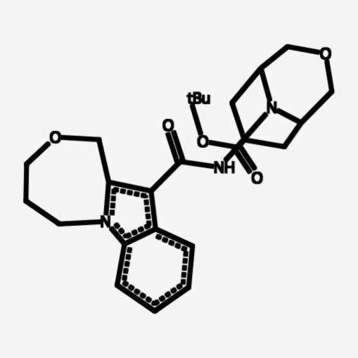 CC(C)(C)OC(=O)N1C2COCC1CC(NC(=O)c1c3n(c4ccccc14)CCCOC3)C2